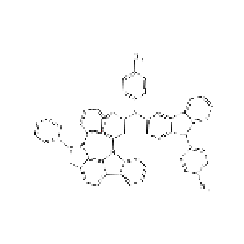 Cc1ccc(N(c2cccc(-n3c4ccccc4c4ccc5cc(-c6ccccc6)n(-c6ccccc6)c5c43)c2)c2ccc3c(c2)c2ccccc2n3-c2ccc(C)cc2)cc1